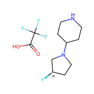 F[C@@H]1CCN(C2CCNCC2)C1.O=C(O)C(F)(F)F